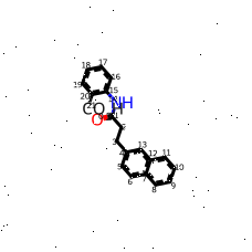 O=C(CCc1ccc2ccccc2c1)Nc1ccccc1C(=O)O